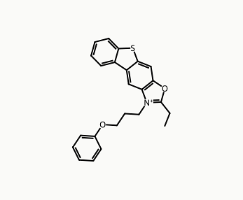 CCc1oc2cc3sc4ccccc4c3cc2[n+]1CCCOc1ccccc1